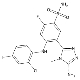 Cn1c(N)nnc1-c1cc(S(N)(=O)=O)c(F)cc1Nc1ccc(I)cc1Cl